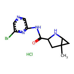 CC12CC(C(=O)Nc3cncc(Br)n3)NC1C2.Cl